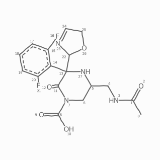 CC(=O)NCC1CN(C(=O)O)C(=O)C(c2c(F)cccc2F)(C2N=CCO2)N1